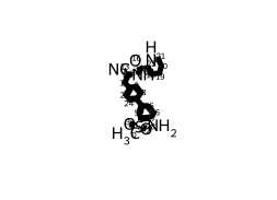 CS(=O)(=O)c1cc(-c2ccc(C[C@@H](C#N)NC(=O)[C@@H]3CCCCN3)cc2)ccc1N